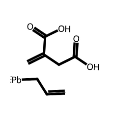 C=C(CC(=O)O)C(=O)O.C=C[CH2][Pb]